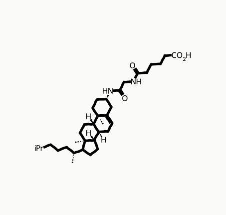 CC(C)CCC[C@@H](C)C1CC[C@H]2[C@@H]3CC=C4C[C@@H](NC(=O)CNC(=O)CCCCC(=O)O)CC[C@]4(C)[C@H]3CC[C@]12C